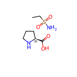 CCS(N)(=O)=O.O=C(O)[C@@H]1CCCN1